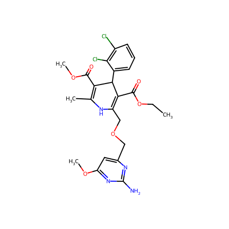 CCOC(=O)C1=C(COCc2cc(OC)nc(N)n2)NC(C)=C(C(=O)OC)C1c1cccc(Cl)c1Cl